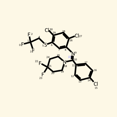 FC(F)(F)CSc1cc(/N=C(/c2ccc(Cl)cc2)N2CCC(F)(F)CC2)c(Cl)cc1Cl